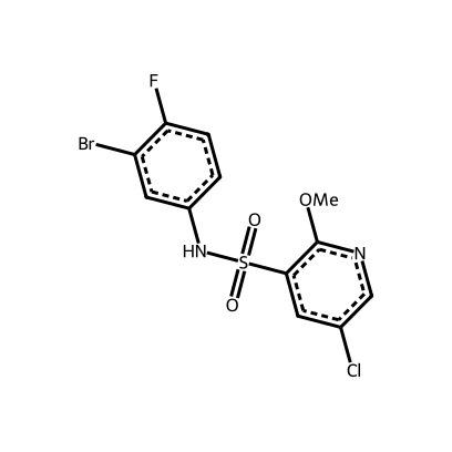 COc1ncc(Cl)cc1S(=O)(=O)Nc1ccc(F)c(Br)c1